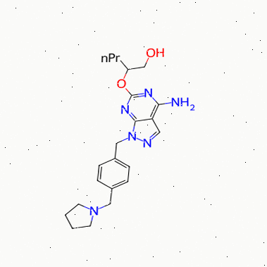 CCCC(CO)Oc1nc(N)c2cnn(Cc3ccc(CN4CCCC4)cc3)c2n1